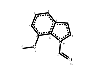 COc1cccc2ccn(C=O)c12